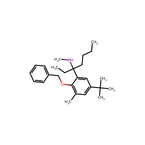 CCCCC(CC)(PC)c1cc(C(C)(C)C)cc(C)c1OCc1ccccc1